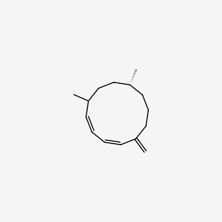 C=C1/C=C\C=C/C(C)CC[C@H](C)CCC1